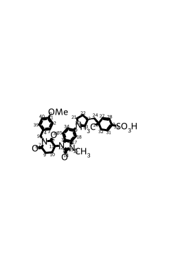 COc1ccc(CN2C(=O)CCC(n3c(=O)n(C)c4cc(N5CC[C@@H](CC6(C)C=CC(S(=O)(=O)O)=CC6)C5)ccc43)C2=O)cc1